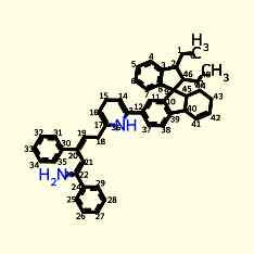 CCC1c2ccccc2C2(c3cc(C4=CCC=C(C/C=C(\C=C(/N)c5ccccc5)c5ccccc5)N4)ccc3C3C=CCCC32)C1CC